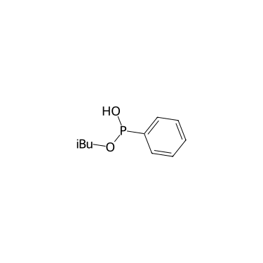 CCC(C)OP(O)c1ccccc1